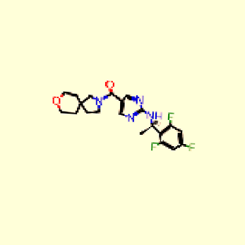 C[C@@H](Nc1ncc(C(=O)N2CCC3(CCOCC3)C2)cn1)c1c(F)cc(F)cc1F